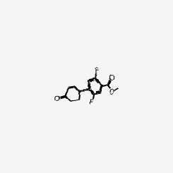 COC(=O)c1cc(F)c(C2CCC(=O)CC2)cc1F